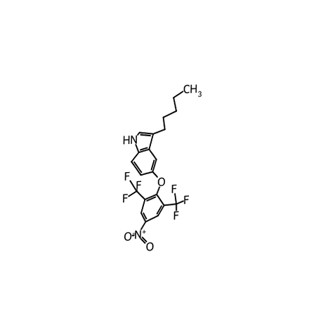 CCCCCc1c[nH]c2ccc(Oc3c(C(F)(F)F)cc([N+](=O)[O-])cc3C(F)(F)F)cc12